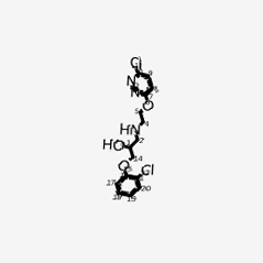 OC(CNCCOc1ccc(Cl)nn1)COc1ccccc1Cl